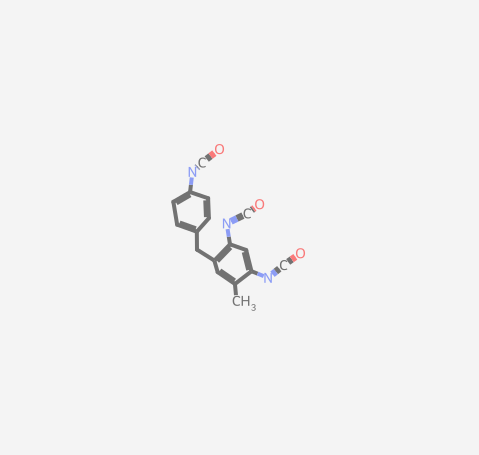 Cc1cc(Cc2ccc(N=C=O)cc2)c(N=C=O)cc1N=C=O